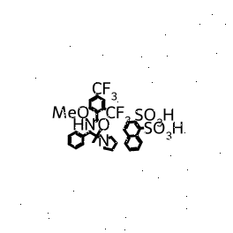 COc1cc(C(F)(F)F)cc(C(F)(F)F)c1C(=O)NC(c1ccccc1)C(C)(C)N1CCCC1.O=S(=O)(O)c1ccc2ccccc2c1S(=O)(=O)O